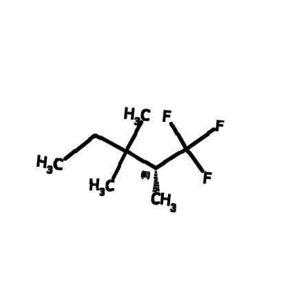 CCC(C)(C)[C@@H](C)C(F)(F)F